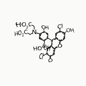 O=C(O)CN(CC(=O)O)c1cc(B(O)O)c(-c2c3cc(Cl)c(=O)cc-3oc3cc(O)c(Cl)cc23)cc1O